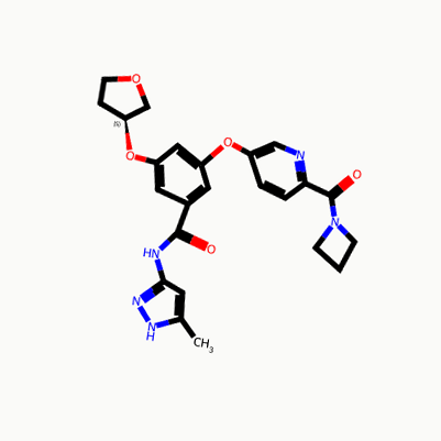 Cc1cc(NC(=O)c2cc(Oc3ccc(C(=O)N4CCC4)nc3)cc(O[C@H]3CCOC3)c2)n[nH]1